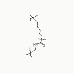 CC(C)(C)CCCCCC(C)(C)C(=O)NCC(C)(C)C